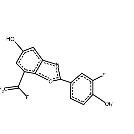 C=C(F)c1cc(O)cc2nc(-c3ccc(O)c(F)c3)oc12